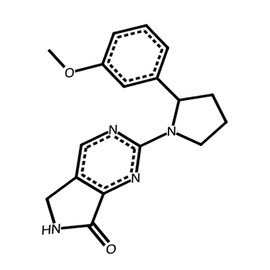 COc1cccc(C2CCCN2c2ncc3c(n2)C(=O)NC3)c1